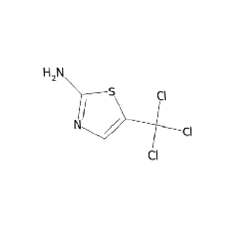 Nc1ncc(C(Cl)(Cl)Cl)s1